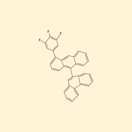 Fc1cc(-c2cccc3c(-c4cc5ccccc5c5ccccc45)c4ccccc4cc23)cc(F)c1F